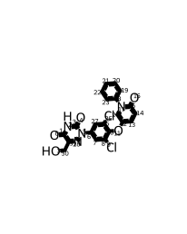 O=c1[nH]c(=O)n(-c2cc(Cl)c(Oc3ccc(=O)n(-c4ccccc4)c3)c(Cl)c2)nc1CO